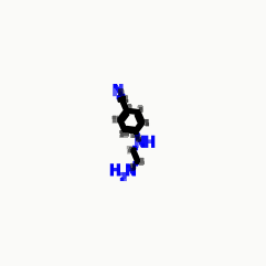 N#Cc1ccc(NCCN)cc1